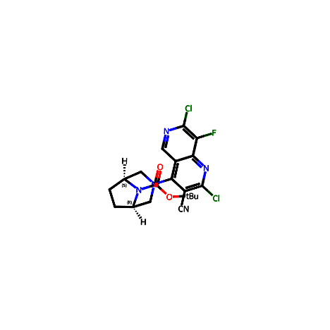 CC(C)(C)OC(=O)N1[C@@H]2CC[C@H]1CN(c1c(C#N)c(Cl)nc3c(F)c(Cl)ncc13)C2